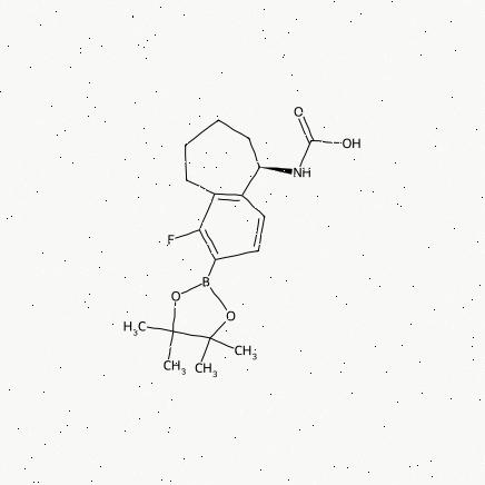 CC1(C)OB(c2ccc3c(c2F)CCCC[C@H]3NC(=O)O)OC1(C)C